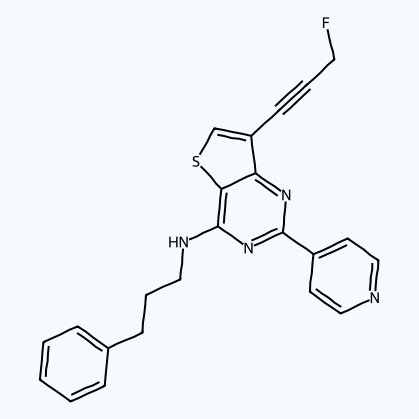 FCC#Cc1csc2c(NCCCc3ccccc3)nc(-c3ccncc3)nc12